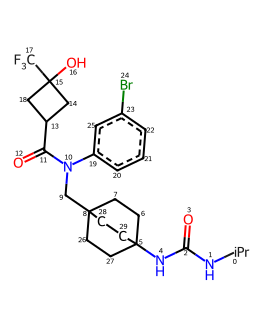 CC(C)NC(=O)NC12CCC(CN(C(=O)C3CC(O)(C(F)(F)F)C3)c3cccc(Br)c3)(CC1)CC2